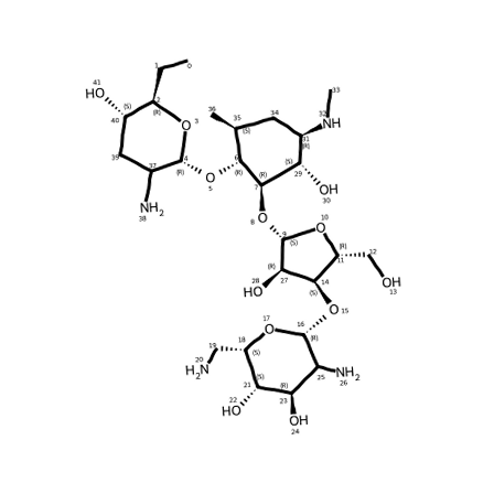 CC[C@H]1O[C@H](O[C@H]2[C@H](O[C@@H]3O[C@H](CO)[C@@H](O[C@H]4O[C@@H](CN)[C@@H](O)[C@H](O)C4N)[C@H]3O)[C@@H](O)[C@H](NC)C[C@@H]2C)C(N)C[C@@H]1O